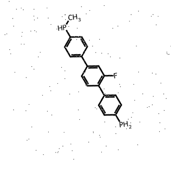 CPc1ccc(-c2ccc(-c3ccc(P)cc3)c(F)c2)cc1